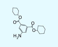 Nc1cc(C(=O)OC2CCCCC2)cc(C(=O)OC2CCCCC2)c1